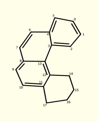 c1ccc2c(c1)ccc1ccc3c(c12)CCCC3